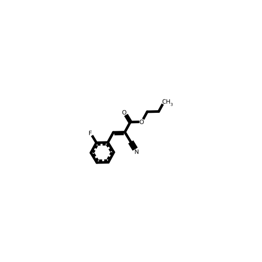 CCCOC(=O)/C(C#N)=C/c1ccccc1F